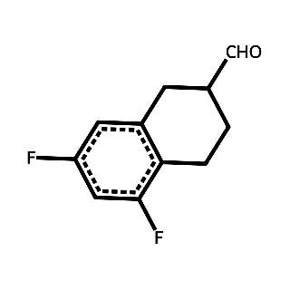 O=CC1CCc2c(F)cc(F)cc2C1